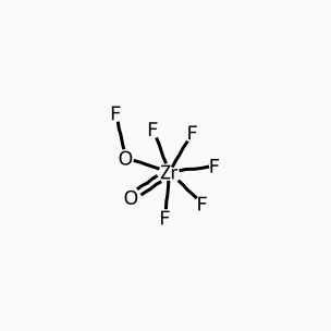 [O]=[Zr]([F])([F])([F])([F])([F])[O]F